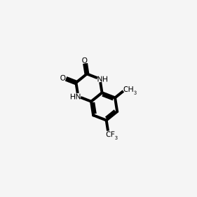 Cc1cc(C(F)(F)F)cc2[nH]c(=O)c(=O)[nH]c12